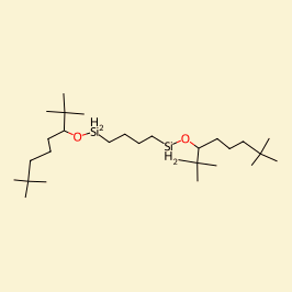 CC(C)(C)CCCC(O[SiH2]CCCC[SiH2]OC(CCCC(C)(C)C)C(C)(C)C)C(C)(C)C